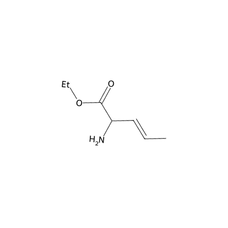 C/C=C/C(N)C(=O)OCC